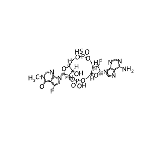 Cn1cnc2c(c(F)cn2[C@@H]2O[C@@H]3COP(=O)(S)OC[C@H]4[C@@H](F)[C@H](n5cnc6c(N)ncnc65)O[C@@H]4COP(=O)(O)O[C@@H]2[C@@H]3O)c1=O